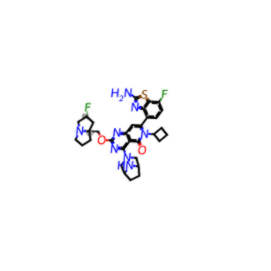 Nc1nc2c(-c3cc4nc(OC[C@@]56CCCN5C[C@H](F)C6)nc(N5CC6CCC(C5)N6)c4c(=O)n3C3CCC3)ccc(F)c2s1